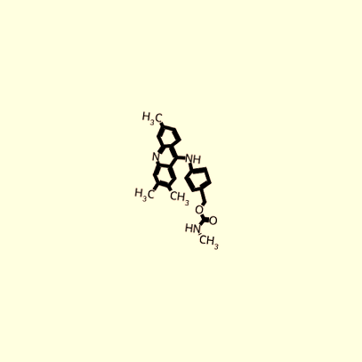 CNC(=O)OCc1ccc(Nc2c3ccc(C)cc3nc3cc(C)c(C)cc23)cc1